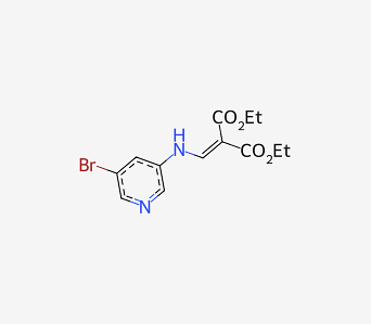 CCOC(=O)C(=CNc1cncc(Br)c1)C(=O)OCC